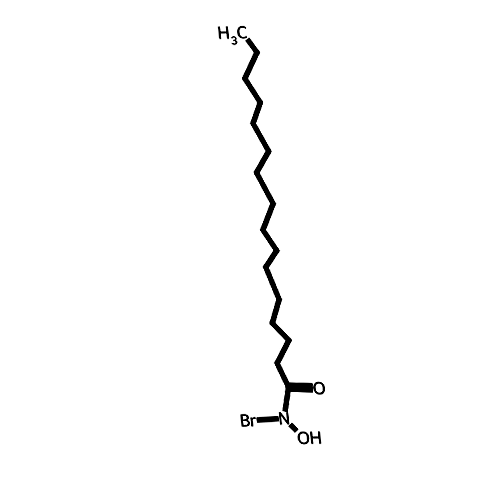 CCCCCCCCCCCCCCCC(=O)N(O)Br